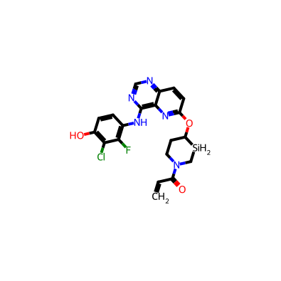 C=CC(=O)N1CCC(Oc2ccc3ncnc(Nc4ccc(O)c(Cl)c4F)c3n2)[SiH2]C1